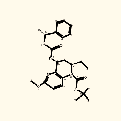 CC[C@@H]1C[C@H](NC(=O)O[C@H](C)c2ccccc2)c2nc(OC)ccc2N1C(=O)OC(C)(C)C